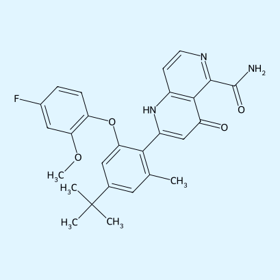 COc1cc(F)ccc1Oc1cc(C(C)(C)C)cc(C)c1-c1cc(=O)c2c(C(N)=O)nccc2[nH]1